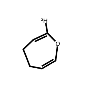 [2H]C1=CCCC=CO1